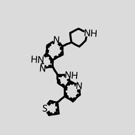 c1cc(-c2ccsc2)c2cc(-c3n[nH]c4cnc(C5CCNCC5)cc34)[nH]c2n1